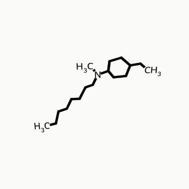 CCCCCCCCN(C)C1CCC(CC)CC1